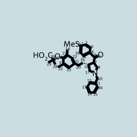 CSc1ccc(C(=O)C2CN(Cc3ccccc3)C[C@@H]2CCc2cc(C)c(OC(C)(C)C(=O)O)c(C)c2)cc1